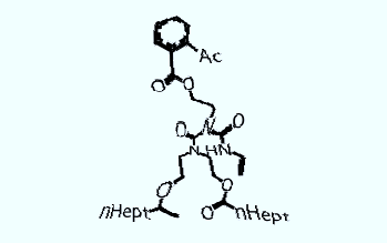 C=CNC(=O)N(CCOC(=O)c1ccccc1C(C)=O)C(=O)N(CCOC(=C)CCCCCCC)CCOC(=O)CCCCCCC